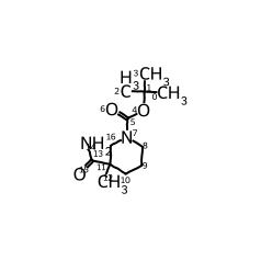 CC(C)(C)OC(=O)N1CCCC(C)(C(N)=O)C1